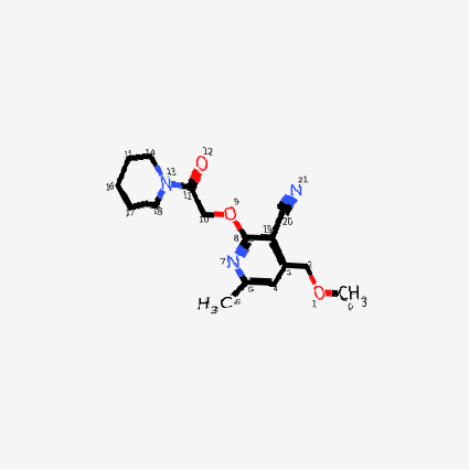 COCc1cc(C)nc(OCC(=O)N2CCCCC2)c1C#N